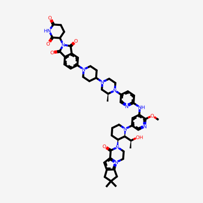 COc1ncc(N2CCC[C@H](N3CCn4c(cc5c4CC(C)(C)C5)C3=O)[C@@H]2[C@H](C)O)cc1Nc1ccc(N2CCN(C3CCN(c4ccc5c(c4)C(=O)N(C4CCC(=O)NC4=O)C5=O)CC3)C[C@@H]2C)cn1